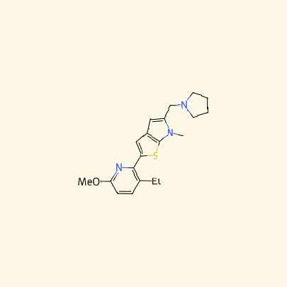 CCc1ccc(OC)nc1-c1cc2cc(CN3CCCC3)n(C)c2s1